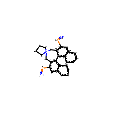 N=Pc1cc2ccccc2c2c1C[N+]1(CCCC1)Cc1c(P=N)cc3ccccc3c1-2